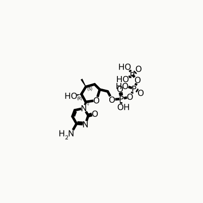 C[C@H]1CC(COP(=O)(O)OP(=O)(O)OP(=O)(O)O)O[C@@H](n2ccc(N)nc2=O)[C@@H]1O